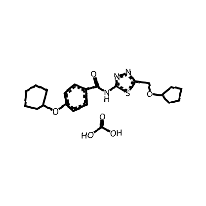 O=C(Nc1nnc(COC2CCCC2)s1)c1ccc(OC2CCCCC2)cc1.O=C(O)O